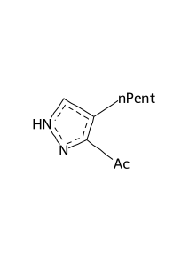 CCCCCc1c[nH]nc1C(C)=O